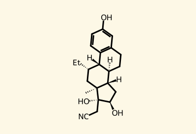 CC[C@H]1C[C@@]2(C)[C@@H](C[C@@H](O)[C@@]2(O)CC#N)[C@@H]2CCc3cc(O)ccc3[C@@H]12